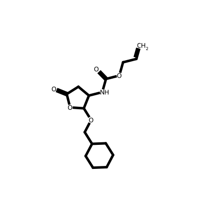 C=CCOC(=O)NC1CC(=O)OC1OCC1CCCCC1